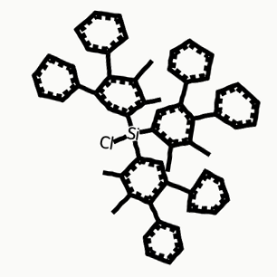 Cc1c([Si](Cl)(c2cc(-c3ccccc3)c(-c3ccccc3)c(C)c2C)c2cc(-c3ccccc3)c(-c3ccccc3)c(C)c2C)cc(-c2ccccc2)c(-c2ccccc2)c1C